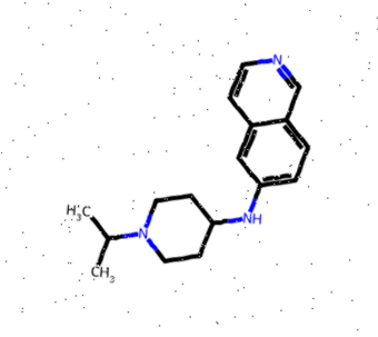 CC(C)N1CCC(Nc2ccc3cnccc3c2)CC1